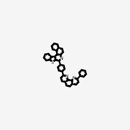 c1ccc(-c2ccc3ccc4ccc(-c5ccc(-c6nc7ccc8ccccc8c7c7c6sc6ccccc67)cc5)nc4c3n2)cc1